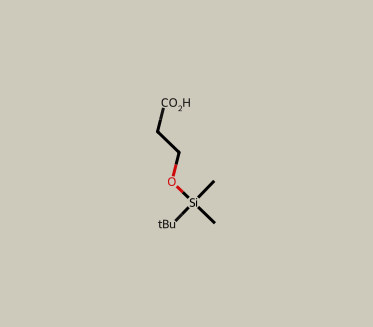 CC(C)(C)[Si](C)(C)OCCC(=O)O